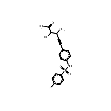 CC(C#Cc1ccc(NS(=O)(=O)c2ccc(F)cc2)cc1)C(O)C(N)=O